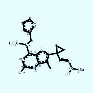 Cc1c(C2(/C=N/[S+]([O-])C(C)(C)C)CC2)sc2c(N(Cc3ccco3)C(=O)O)nc(Cl)nc12